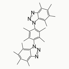 Cc1c(C)c(-n2nnc3c(C)c(C)c(C)c(C)c32)c(C)c(C)c1-n1nnc2c(C)c(C)c(C)c(C)c21